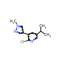 CC(C)c1cnc(Cl)c(-c2cnn(C)c2)c1